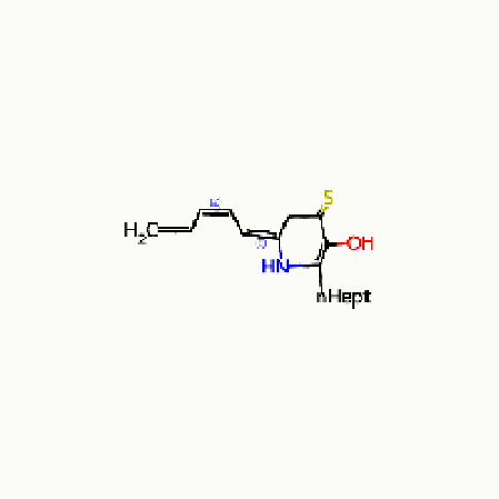 C=C/C=C\C=C1/CC(=S)C(O)=C(CCCCCCC)N1